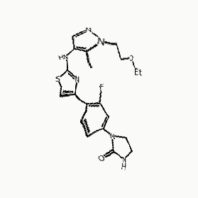 CCOCCn1ncc(Nc2nc(-c3ccc(N4CCNC4=O)cc3F)cs2)c1C